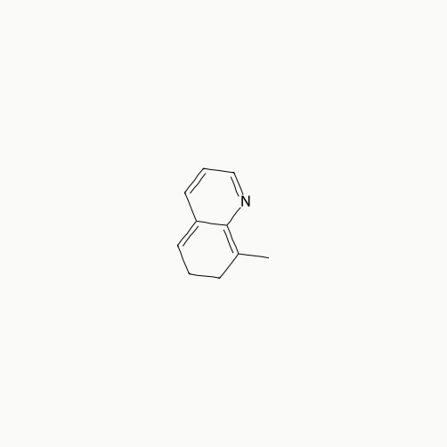 CC1=c2ncccc2=CCC1